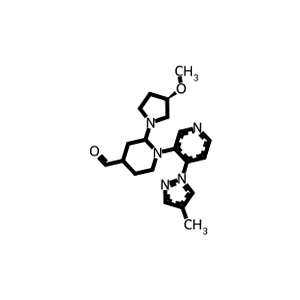 CO[C@@H]1CCN(C2CC(C=O)CCN2c2cnccc2-n2cc(C)cn2)C1